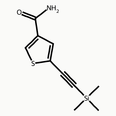 C[Si](C)(C)C#Cc1cc(C(N)=O)cs1